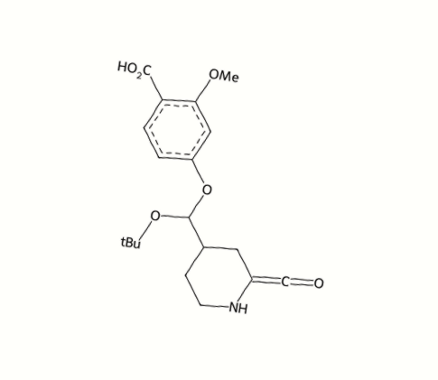 COc1cc(OC(OC(C)(C)C)C2CCNC(=C=O)C2)ccc1C(=O)O